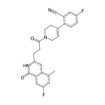 Cc1cc(F)cc2c(=O)[nH]c(CCC(=O)N3CC=C(c4ccc(F)cc4C#N)CC3)cc12